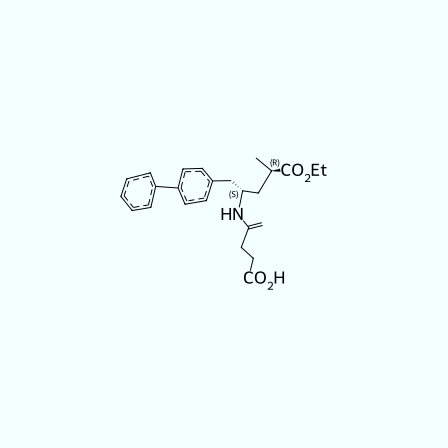 C=C(CCC(=O)O)N[C@H](Cc1ccc(-c2ccccc2)cc1)C[C@@H](C)C(=O)OCC